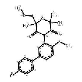 CCc1ccc(-c2ccc(Cl)cc2)cc1C1C(=O)C(C)(C)OC(C)(COC)C1=O